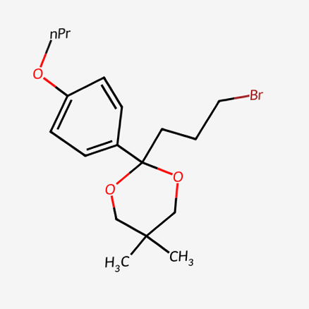 CCCOc1ccc(C2(CCCBr)OCC(C)(C)CO2)cc1